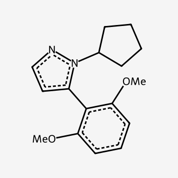 COc1cccc(OC)c1-c1ccnn1C1CCCC1